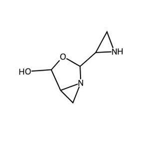 OC1OC(C2CN2)N2CC12